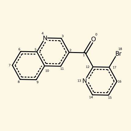 O=C(c1cnc2ccccc2c1)c1ncccc1Br